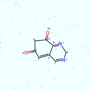 O=C1C=C2C=NCN=C2C(=O)C1